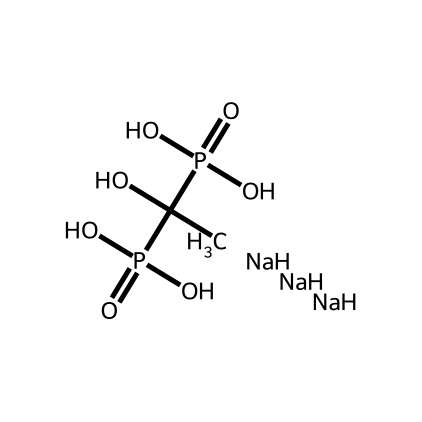 CC(O)(P(=O)(O)O)P(=O)(O)O.[NaH].[NaH].[NaH]